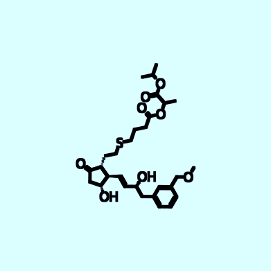 COCc1cccc(C[C@H](O)/C=C/[C@H]2[C@H](O)CC(=O)[C@@H]2CCSCCCC(=O)OC(C)C(=O)OC(C)C)c1